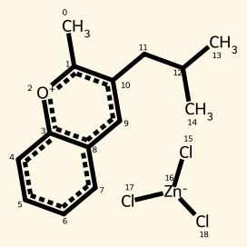 Cc1[o+]c2ccccc2cc1CC(C)C.[Cl][Zn-]([Cl])[Cl]